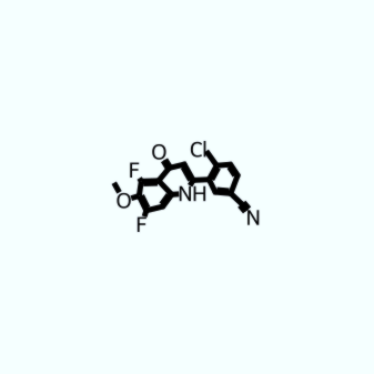 COc1c(F)cc2[nH]c(-c3cc(C#N)ccc3Cl)cc(=O)c2c1F